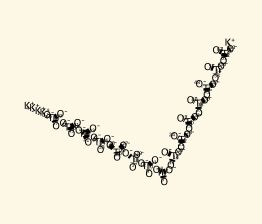 [K+].[K+].[K+].[K+].[K+].[O]=[Ti]([O-])[O-].[O]=[Ti]([O-])[O-].[O]=[Ti]([O-])[O-].[O]=[Ti]([O-])[O-].[O]=[Ti]([O-])[O-].[O]=[Ti]([O-])[O-].[O]=[Ti]([O-])[O-].[O]=[Ti]([O-])[O-].[O]=[Ti]([O-])[O-].[O]=[Ti]([O-])[O-].[O]=[Ti]([O-])[O-].[O]=[Ti]([O-])[O-].[O]=[Ti]([O-])[O-].[O]=[Ti]([O-])[O-].[O]=[Ti]([O-])[O-]